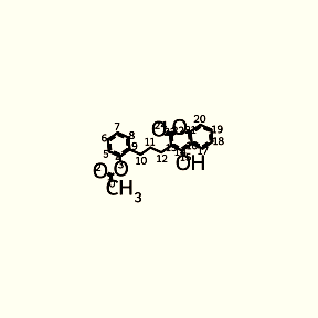 CC(=O)Oc1ccccc1CCCc1c(O)c2ccccc2oc1=O